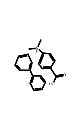 C[SiH](C)c1ccc(C(=O)O)cc1.c1ccc(-c2ccccc2)cc1